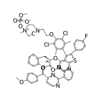 COc1ccc(COC(=O)[C@@H](Cc2ccccc2OCc2ccnc(-c3ccccc3OC)n2)Oc2ncnc3sc(-c4ccc(F)cc4)c(-c4c(C)c(Cl)c(OCCN5CC[N+](C)(OP(=O)([O-])OC)CC5)c(Cl)c4C)c23)cc1